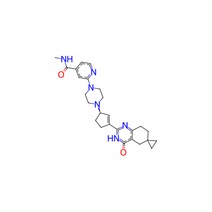 CNC(=O)c1ccnc(N2CCN([C@H]3C=C(c4nc5c(c(=O)[nH]4)CC4(CC5)CC4)CC3)CC2)c1